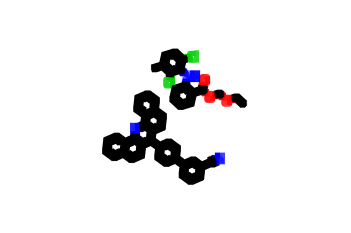 CCOCOC(=O)c1ccccc1Nc1c(Cl)ccc(C)c1Cl.N#Cc1cccc(-c2ccc(-c3c4ccc5ccccc5c4nc4c3ccc3ccccc34)cc2)c1